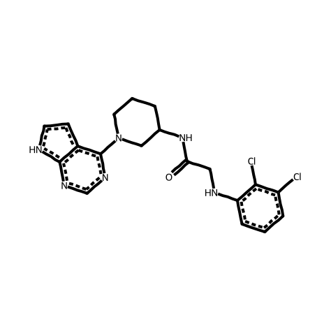 O=C(CNc1cccc(Cl)c1Cl)NC1CCCN(c2ncnc3[nH]ccc23)C1